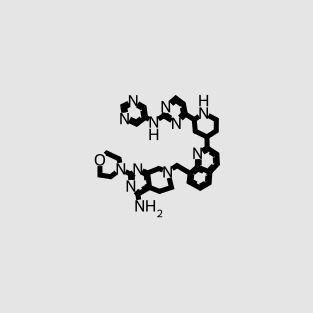 Nc1nc(N2CCOCC2)nc2c1CCN(Cc1cccc3ccc(C4CCNC(c5ccnc(Nc6cncnc6)n5)C4)nc13)C2